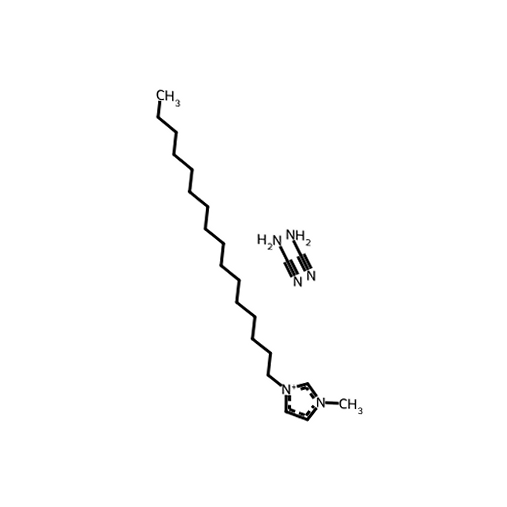 CCCCCCCCCCCCCCCC[n+]1ccn(C)c1.N#CN.N#CN